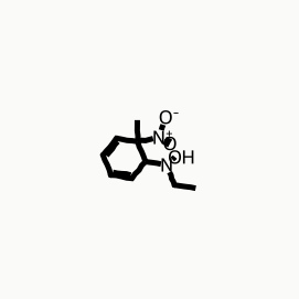 CCN(O)C1C=CC=CC1(C)[N+](=O)[O-]